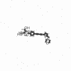 C[C@H](O)[C@H](NC(=O)c1ccc(C#CC#Cc2ccc(CN3CCOCC3)s2)cc1)C(=O)NO